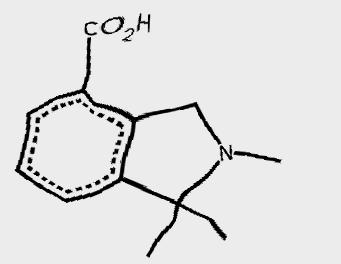 CN1Cc2c(C(=O)O)cccc2C1(C)C